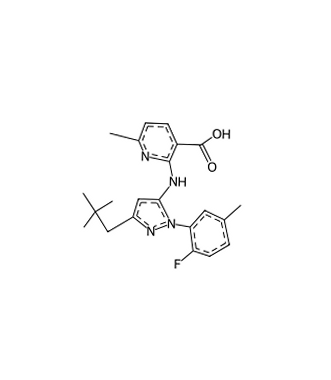 Cc1ccc(F)c(-n2nc(CC(C)(C)C)cc2Nc2nc(C)ccc2C(=O)O)c1